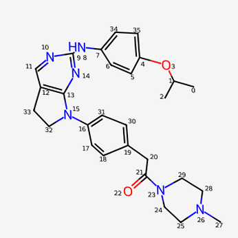 CC(C)Oc1ccc(Nc2ncc3c(n2)N(c2ccc(CC(=O)N4CCN(C)CC4)cc2)CC3)cc1